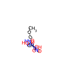 CCc1ccc(-c2ccc(C(=O)N[C@H](C(=O)NCCN(O)C(=O)N3CCOCC3)[C@@H](C)O)cc2)cc1